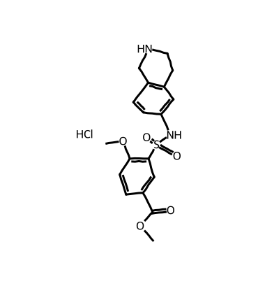 COC(=O)c1ccc(OC)c(S(=O)(=O)Nc2ccc3c(c2)CCNC3)c1.Cl